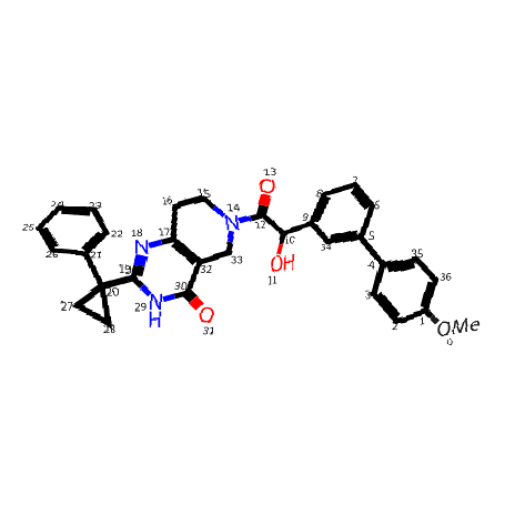 COc1ccc(-c2cccc(C(O)C(=O)N3CCc4nc(C5(c6ccccc6)CC5)[nH]c(=O)c4C3)c2)cc1